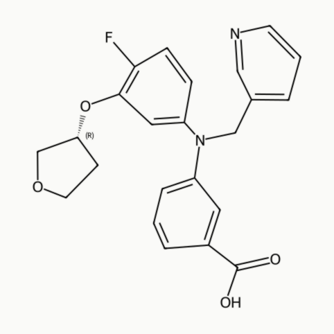 O=C(O)c1cccc(N(Cc2cccnc2)c2ccc(F)c(O[C@@H]3CCOC3)c2)c1